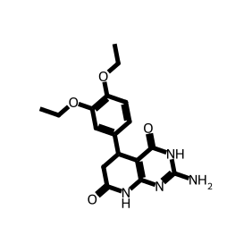 CCOc1ccc(C2CC(=O)Nc3nc(N)[nH]c(=O)c32)cc1OCC